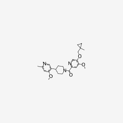 COc1cc(C(=O)N2CCC(c3cnc(C)cc3OC)CC2)ncc1OCC1(C)CC1